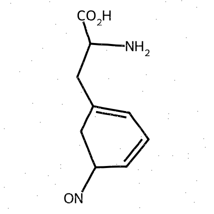 NC(CC1=CC=CC(N=O)C1)C(=O)O